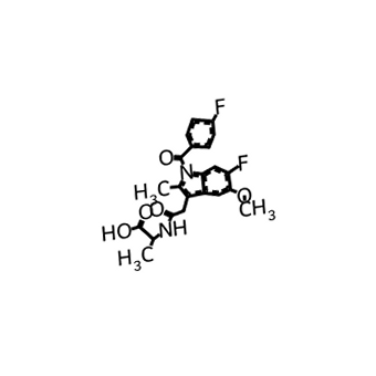 COc1cc2c(CC(=O)NC(C)C(=O)O)c(C)n(C(=O)c3ccc(F)cc3)c2cc1F